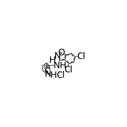 Cl.Clc1cc(Cl)c2c(N[C@H]3CN4CCC3CC4)noc2c1